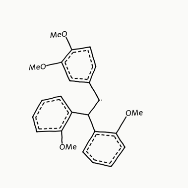 COc1ccc([CH]C(c2ccccc2OC)c2ccccc2OC)cc1OC